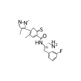 CC1=C(c2c(C)cnn2C)CC(=S)C(C(=O)N[C@H](CN)Cc2cccc(F)c2)=C1